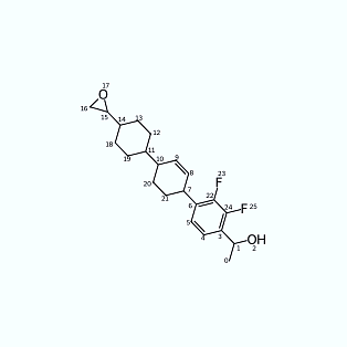 CC(O)c1ccc(C2C=CC(C3CCC(C4CO4)CC3)CC2)c(F)c1F